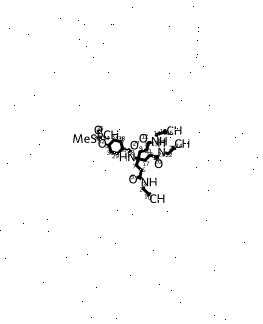 C#CCNC(=O)CCC(CCC(=O)NCC#C)(CCC(=O)NCC#C)NC(=O)[C@H]1CC[C@@H](OP(C)(=O)SC)CC1